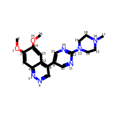 COc1cc2nncc(-c3cnc(N4CCN(C)CC4)nc3)c2cc1OC